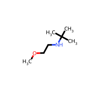 COCCNC(C)(C)C